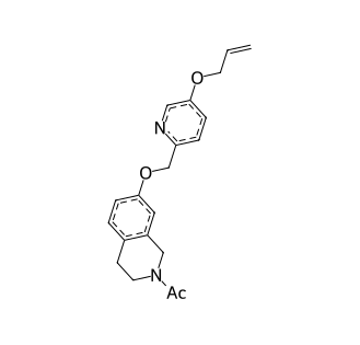 C=CCOc1ccc(COc2ccc3c(c2)CN(C(C)=O)CC3)nc1